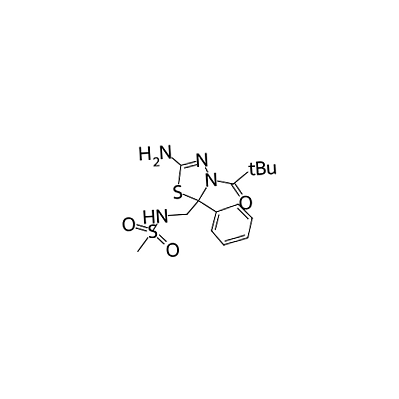 CC(C)(C)C(=O)N1N=C(N)SC1(CNS(C)(=O)=O)c1ccccc1